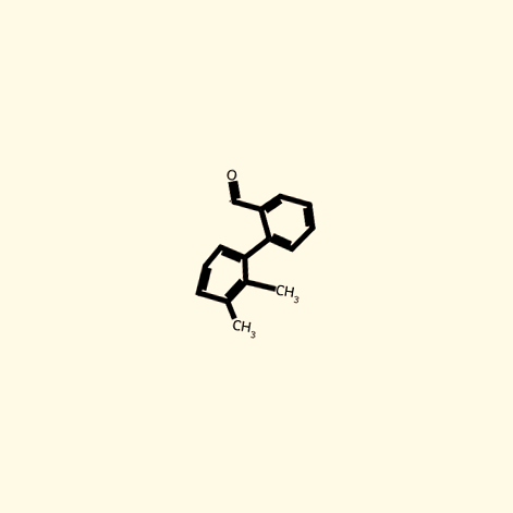 Cc1cccc(-c2ccccc2[C]=O)c1C